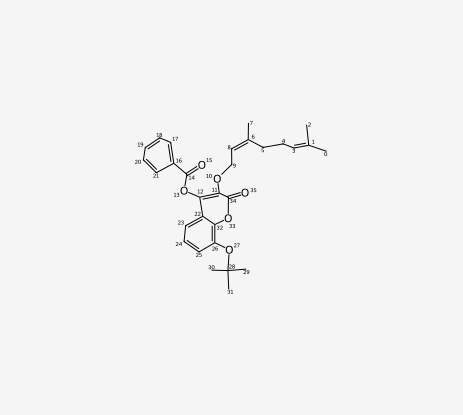 CC(C)=CCCC(C)=CCOc1c(OC(=O)c2ccccc2)c2cccc(OC(C)(C)C)c2oc1=O